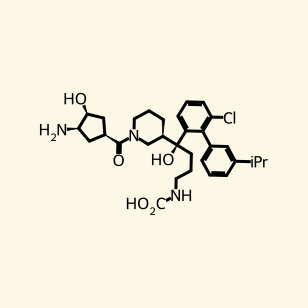 CC(C)c1cccc(-c2c(Cl)cccc2[C@](O)(CCCNC(=O)O)[C@@H]2CCCN(C(=O)[C@H]3C[C@@H](N)[C@@H](O)C3)C2)c1